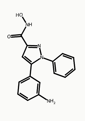 Nc1cccc(-c2cc(C(=O)NO)nn2-c2ccccc2)c1